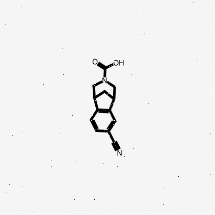 N#Cc1ccc2c(c1)C1CC2CN(C(=O)O)C1